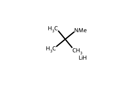 CNC(C)(C)C.[LiH]